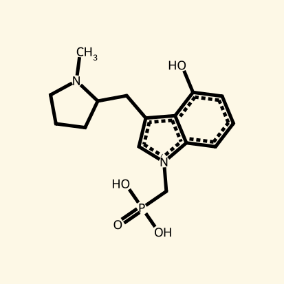 CN1CCCC1Cc1cn(CP(=O)(O)O)c2cccc(O)c12